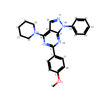 COc1ccc(-c2nc(N3CCCCC3)c3cnn(-c4ccccc4)c3n2)cc1